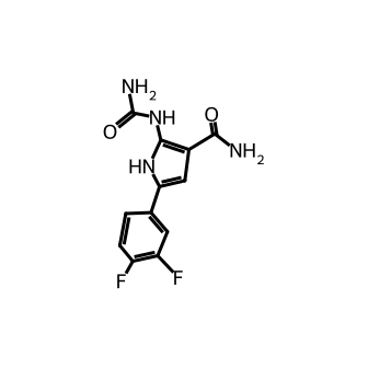 NC(=O)Nc1[nH]c(-c2ccc(F)c(F)c2)cc1C(N)=O